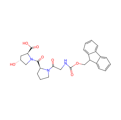 O=C(NCC(=O)N1CCC[C@H]1C(=O)N1C[C@H](O)C[C@H]1C(=O)O)OCC1c2ccccc2-c2ccccc21